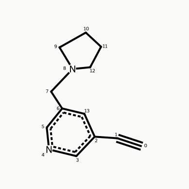 C#Cc1cncc(CN2CCCC2)c1